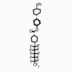 CCC[C@H]1CC[C@H](c2ccc(OC(=O)[C@H]3CC[C@H](C(F)(F)C(F)(F)C(F)(F)C(F)(F)C(F)(F)C(F)(F)F)CC3)cc2)CC1